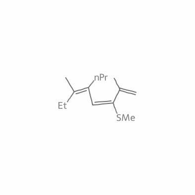 C=C(C)C(=CC(CCC)=C(C)CC)SC